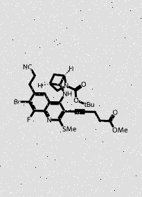 COC(=O)CCC#Cc1c(SC)nc2c(F)c(Br)c(CCC#N)cc2c1NC1[C@@H]2C[C@H]1N(C(=O)OC(C)(C)C)C2